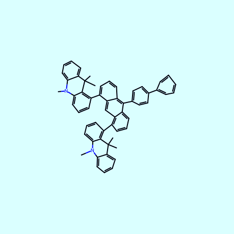 CN1c2ccccc2C(C)(C)c2c(-c3cccc4c(-c5ccc(-c6ccccc6)cc5)c5cccc(-c6cccc7c6C(C)(C)c6ccccc6N7C)c5cc34)cccc21